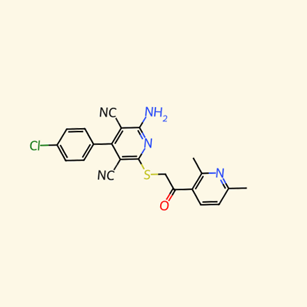 Cc1ccc(C(=O)CSc2nc(N)c(C#N)c(-c3ccc(Cl)cc3)c2C#N)c(C)n1